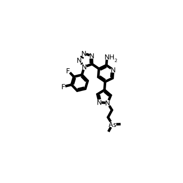 C[As](C)CCn1cc(-c2cnc(N)c(-c3nnnn3-c3cccc(F)c3F)c2)cn1